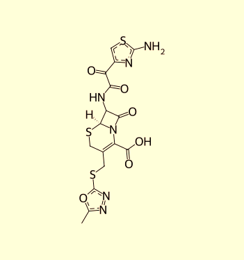 Cc1nnc(SCC2=C(C(=O)O)N3C(=O)C(NC(=O)C(=O)c4csc(N)n4)[C@@H]3SC2)o1